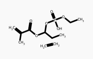 C=C.C=C(C)C(=O)OC(CC)OP(=O)(O)OCC